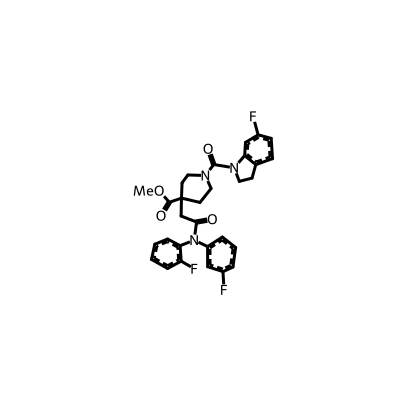 COC(=O)C1(CC(=O)N(c2cccc(F)c2)c2ccccc2F)CCN(C(=O)N2CCc3ccc(F)cc32)CC1